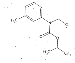 Cc1cccc(N(CCl)C(=O)OC(C)C)c1